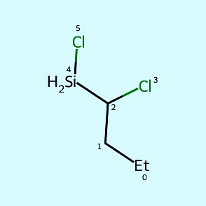 CCCC(Cl)[SiH2]Cl